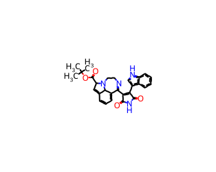 CC(C)(C)OC(=O)C1C=C2C=CC=C3C(C4=C(c5c[nH]c6ccccc56)C(=O)NC4=O)=NCCN1C23